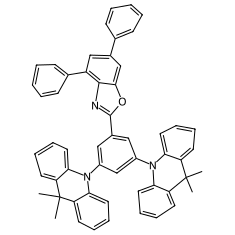 CC1(C)c2ccccc2N(c2cc(-c3nc4c(-c5ccccc5)cc(-c5ccccc5)cc4o3)cc(N3c4ccccc4C(C)(C)c4ccccc43)c2)c2ccccc21